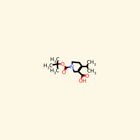 CC(C)C1=C(C(=O)O)CN(C(=O)OC(C)(C)C)CC1